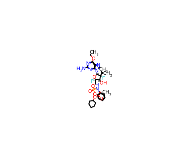 C=C(C)[C@]1(F)[C@H](n2cnc3c(OCC)nc(N)nc32)O[C@](F)(COP(=O)(N[C@@H](C)C(=O)OC2CCCCC2)Oc2ccccc2)[C@H]1O